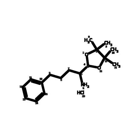 CC1(C)OB(C(N)CCCc2ccccc2)OC1(C)C.Cl